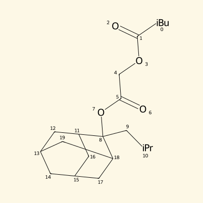 CCC(C)C(=O)OCC(=O)OC1(CC(C)C)C2CC3CC(C2)CC1C3